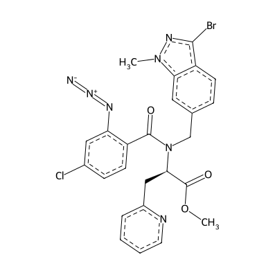 COC(=O)[C@@H](Cc1ccccn1)N(Cc1ccc2c(Br)nn(C)c2c1)C(=O)c1ccc(Cl)cc1N=[N+]=[N-]